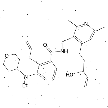 C=CCc1c(C(=O)NCc2c(CCC(O)C=C)cc(C)nc2C)cccc1N(CC)C1CCOCC1